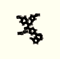 CC1CCc2ncnc(N3CCN(C(=O)C(CN4CCC(O)C4)c4ccc(Cl)cc4)CC3)c21.Cl.Cl